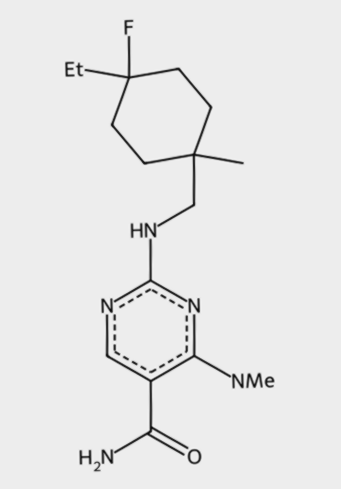 CCC1(F)CCC(C)(CNc2ncc(C(N)=O)c(NC)n2)CC1